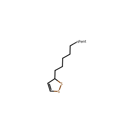 CCCCCCCCCCC1C=CSS1